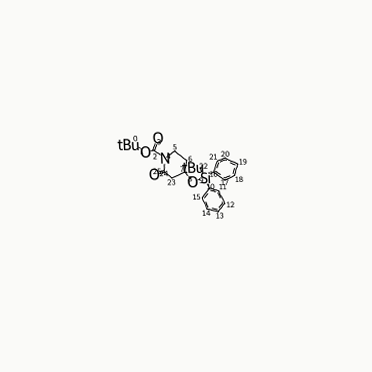 CC(C)(C)OC(=O)N1CCC(O[Si](c2ccccc2)(c2ccccc2)C(C)(C)C)CC1=O